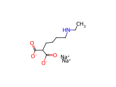 CCNCCCCC(C(=O)[O-])C(=O)[O-].[Na+].[Na+]